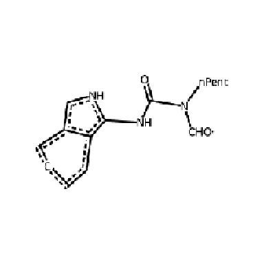 CCCCCN([C]=O)C(=O)Nc1[nH]cc2ccccc12